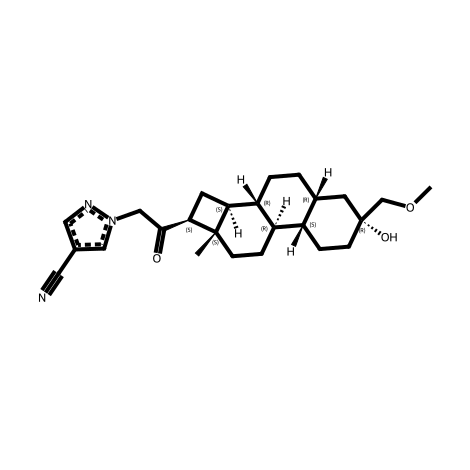 COC[C@@]1(O)CC[C@H]2[C@H](CC[C@@H]3[C@@H]2CC[C@]2(C)[C@@H](C(=O)Cn4cc(C#N)cn4)C[C@@H]32)C1